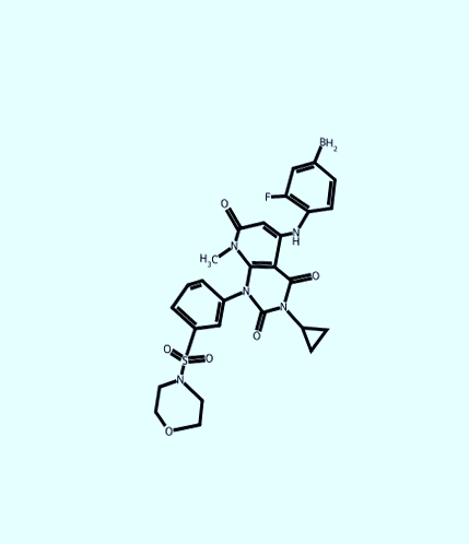 Bc1ccc(Nc2cc(=O)n(C)c3c2c(=O)n(C2CC2)c(=O)n3-c2cccc(S(=O)(=O)N3CCOCC3)c2)c(F)c1